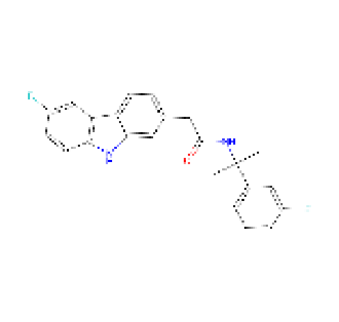 CC(C)(NC(=O)Cc1ccc2c(c1)[nH]c1ccc(F)cc12)c1cccc(F)c1